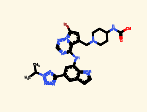 CC(C)n1nnc(-c2cc(Nc3ncnn4c(Br)cc(CN5CCC(NC(=O)O)CC5)c34)c3[nH]ccc3c2)n1